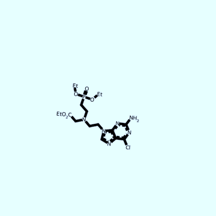 CCOC(=O)CN(CCn1cnc2c(Cl)nc(N)nc21)CCP(=O)(OCC)OCC